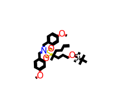 C=CCCC(C)(CCCO[Si](C)(C)C(C)(C)C)S(=O)(=O)N(Cc1ccc(OC)cc1)Cc1ccc(OC)cc1